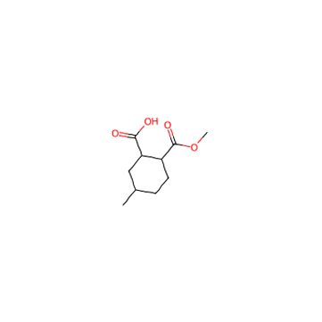 COC(=O)C1CCC(C)CC1C(=O)O